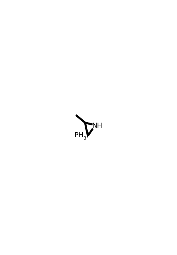 CC1CN1.P